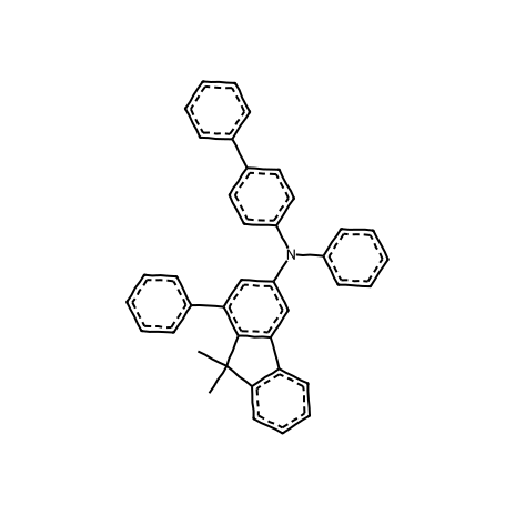 CC1(C)c2ccccc2-c2cc(N(c3ccccc3)c3ccc(-c4ccccc4)cc3)cc(-c3ccccc3)c21